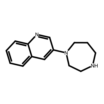 c1ccc2ncc(N3CCCNCC3)cc2c1